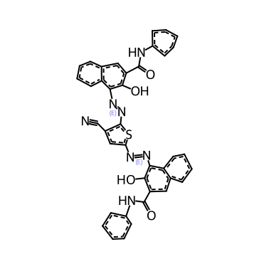 N#Cc1cc(/N=N/c2c(O)c(C(=O)Nc3ccccc3)cc3ccccc23)sc1/N=N/c1c(O)c(C(=O)Nc2ccccc2)cc2ccccc12